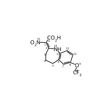 O=C(O)C(=C1CCCc2cc(OC(F)(F)F)ccc2N1)[N+](=O)[O-]